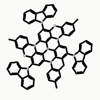 Cc1ccc2c(c1)Cc1c(-n3c4ccccc4c4ccccc43)cc3c4c1N2c1cc(-n2c5ccccc5c5ccccc52)c2c5c1B4c1c(cc(-n4c6ccccc6c6ccccc64)c4c1N3c1ccc(C)cc1O4)N5c1ccc(C)cc1O2